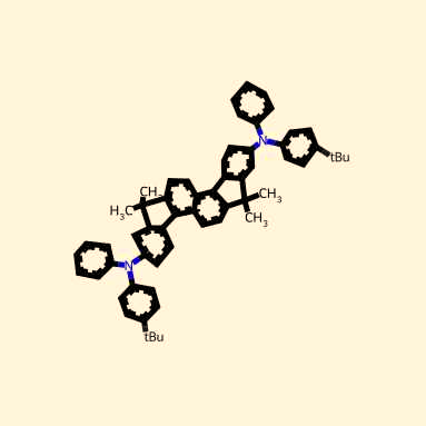 CC(C)(C)c1ccc(N(c2ccccc2)c2ccc3c(c2)C(C)(C)c2ccc4c5c(ccc4c2-3)C(C)(C)c2cc(N(c3ccccc3)c3ccc(C(C)(C)C)cc3)ccc2-5)cc1